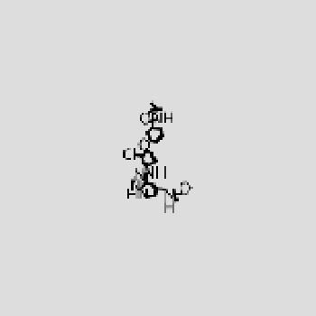 COCC(C)(C)NCC1=Cc2c(ncnc2Nc2ccc(Oc3cccc(C(=O)NC(C)(C)C)c3)c(Cl)c2)NCC1